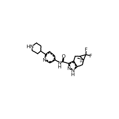 C[C@@]12Cc3[nH]nc(C(=O)Nc4ccc(C5CCNCC5)nc4)c3CC1C2(F)F